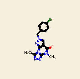 Cc1nnc2n(C)c(=O)c3cn(Cc4ccc(Br)cc4)nc3n12